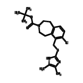 Cc1nc(SCc2c(Cl)ccc3c2CCN(C(=O)OC(C)(C)C)CC3)[nH]c1C